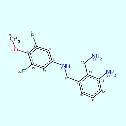 COc1c(F)cc(NCc2cccc(N)c2CN)cc1F